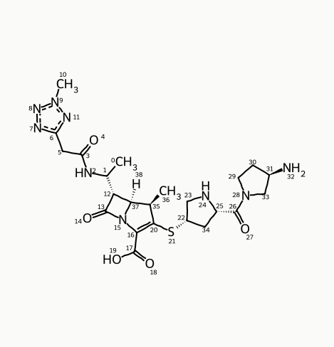 CC(NC(=O)Cc1nnn(C)n1)[C@H]1C(=O)N2C(C(=O)O)=C(S[C@@H]3CN[C@H](C(=O)N4CC[C@@H](N)C4)C3)[C@H](C)[C@H]12